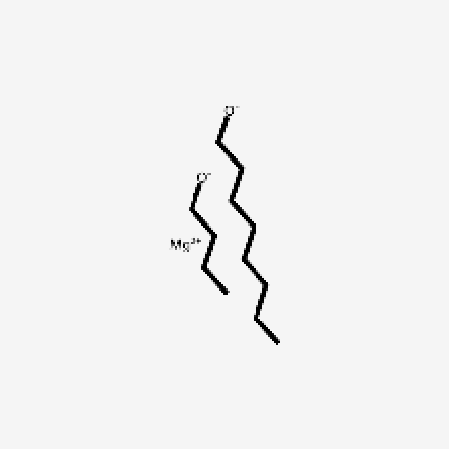 CCCCCCCC[O-].CCCC[O-].[Mg+2]